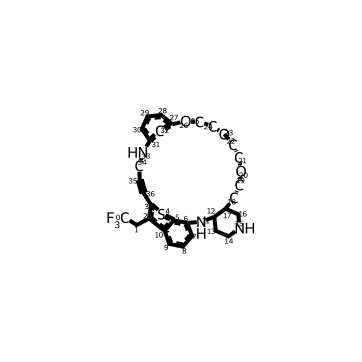 FC(F)(F)Cc1c2sc3c(cccc13)NC1CCNCC1CCOCCOCCOc1cccc(c1)NCC#C2